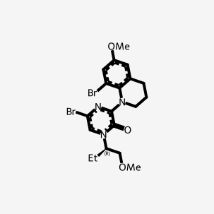 CC[C@H](COC)n1cc(Br)nc(N2CCCc3cc(OC)cc(Br)c32)c1=O